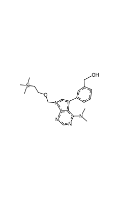 CN(C)c1ncnc2c1c(-c1cccc(CO)c1)cn2COCC[Si](C)(C)C